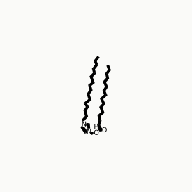 CCCCCCCCCCCCCCCC(=O)O.CCCCCCCCCCCCCCCCN1C=CN(C)C1